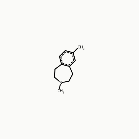 Cc1ccc2c(c1)CCN(C)CC2